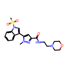 Cn1nc(C(=O)NCCN2CCOCC2)cc1-c1cn(S(C)(=O)=O)c2ccccc12